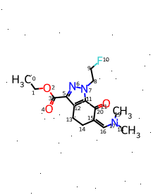 CCOC(=O)c1nn(CCF)c2c1CC/C(=C/N(C)C)C2=O